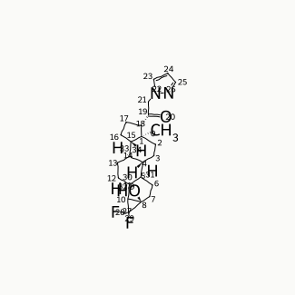 C[C@]12CC[C@@H]3[C@H]4CC[C@@]5(O)C([C@H]4CC[C@H]3[C@@H]1CC[C@@H]2C(=O)Cn1cccn1)C5(F)F